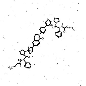 CCCC(=O)N[C@@H](C(=O)N1CCC[C@H]1c1nc(-c2ccc3c(c2)CCN(c2ccc(-c4cnc([C@@H]5CCCN5C(=O)[C@H](NC(=O)OC)c5ccccc5)[nH]4)cc2)C3=O)c[nH]1)c1ccccc1